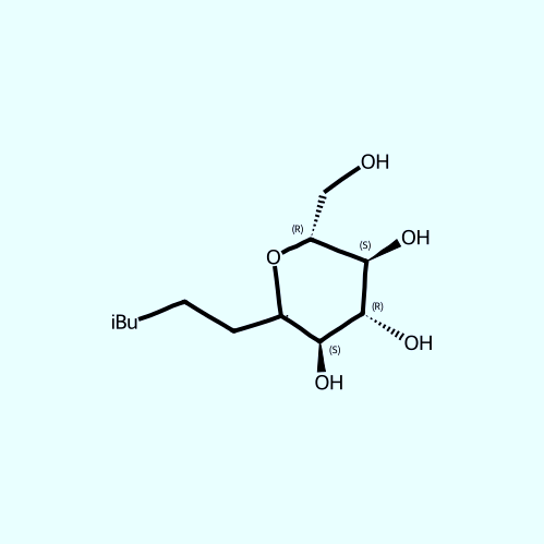 CCC(C)CC[C]1O[C@H](CO)[C@@H](O)[C@H](O)[C@H]1O